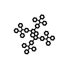 c1ccc(C(=C(c2ccccc2)c2ccc(-c3cc(-c4ccc(C(=C(c5ccccc5)c5ccccc5)c5ccccc5)cc4)c4ccc5c(-c6ccc(C(=C(c7ccccc7)c7ccccc7)c7ccccc7)cc6)cc(-c6ccc(C(=C(c7ccccc7)c7ccccc7)c7ccccc7)cc6)c6ccc3c4c65)cc2)c2ccccc2)cc1